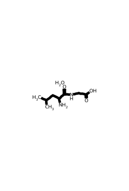 CC(C)CC(N)C(=O)NCC(=O)O.O